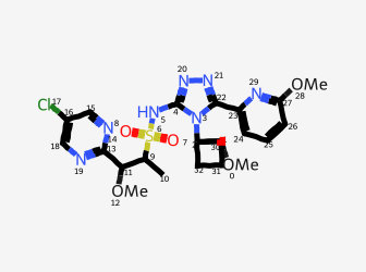 COCC1(n2c(NS(=O)(=O)C(C)C(OC)c3ncc(Cl)cn3)nnc2-c2cccc(OC)n2)CCC1